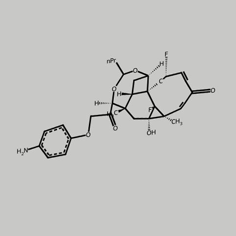 CCCC1O[C@H](C(=O)COc2ccc(N)cc2)[C@@]2(C)C[C@]3(O)[C@]4(C)C=CC(=O)C=C[C@@H](F)C[C@]5([C@@H](C[C@@H]25)O1)[C@@]43F